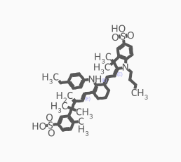 C=C(/C=C/C1=C(Nc2ccc(CC)cc2)C(=C/C=C2/N(CCCC)c3ccc(S(=O)(=O)O)cc3C2(C)C)/CCC1)C(C)(C)c1cc(S(=O)(=O)O)ccc1C